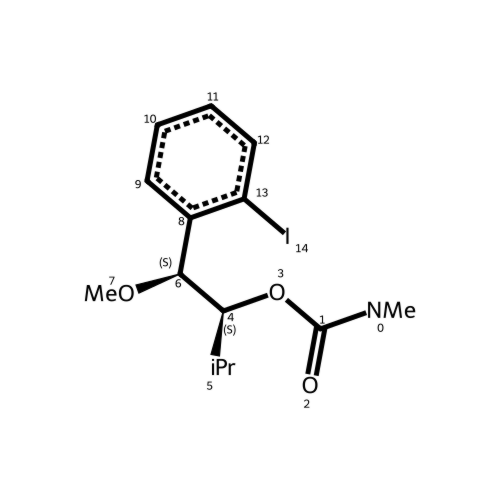 CNC(=O)O[C@@H](C(C)C)[C@@H](OC)c1ccccc1I